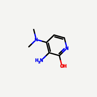 CN(C)c1ccnc(O)c1N